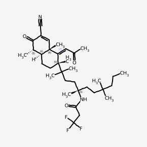 CCCC(C)(C)CC[C@@](C)(CCC(C)(C)[C@]1(C)CC[C@H]2[C@H](C)C(=O)C(C#N)=C[C@]2(C)/C1=C/C(C)=O)NC(=O)CC(F)(F)F